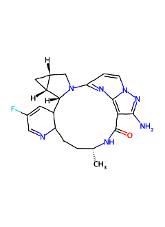 C[C@@H]1CCC2N=CC(F)=CC2[C@@H]2[C@@H]3C[C@@H]3CN2c2ccn3nc(N)c(c3n2)C(=O)N1